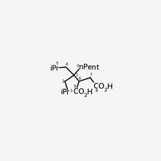 CCCCCC(CC(C)C)(CC(C)C)C(CC(=O)O)C(=O)O